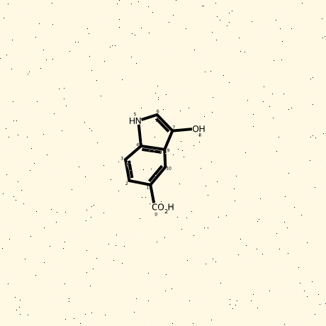 O=C(O)c1ccc2[nH]cc(O)c2c1